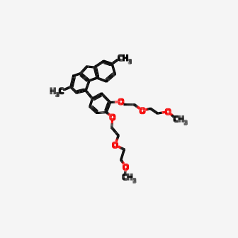 COCCOCCOc1ccc(-c2cc(C)cc3c2-c2ccc(C)cc2C3)cc1OCCOCCOC